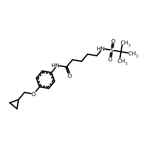 CC(C)(C)S(=O)(=O)NCCCCC(=O)Nc1ccc(OCC2CC2)cc1